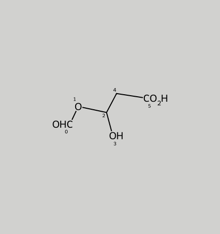 O=COC(O)CC(=O)O